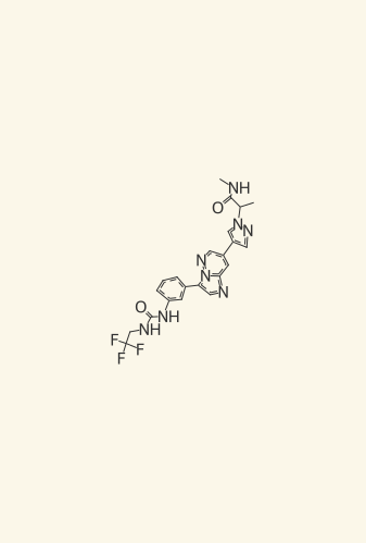 CNC(=O)C(C)n1cc(-c2cnn3c(-c4cccc(NC(=O)NCC(F)(F)F)c4)cnc3c2)cn1